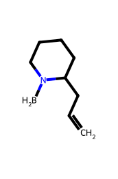 BN1CCCCC1CC=C